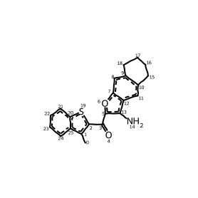 Cc1c(C(=O)c2oc3cc4c(cc3c2N)CCCC4)sc2ccccc12